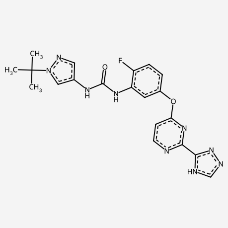 CC(C)(C)n1cc(NC(=O)Nc2cc(Oc3ccnc(-c4nnc[nH]4)n3)ccc2F)cn1